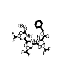 CC(C)(C)OC(=O)N[C@@H](COC(F)F)C(=O)N[C@@H](COC(F)F)C(=O)N[C@@H](COC(F)F)C(=O)OCc1ccccc1